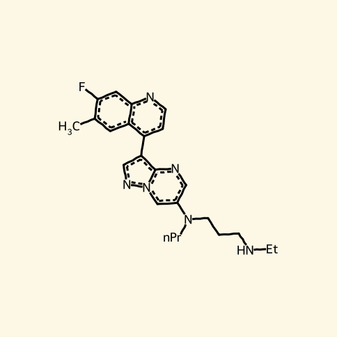 CCCN(CCCNCC)c1cnc2c(-c3ccnc4cc(F)c(C)cc34)cnn2c1